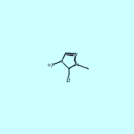 CCC1N(C)N=CN1[N+](=O)[O-]